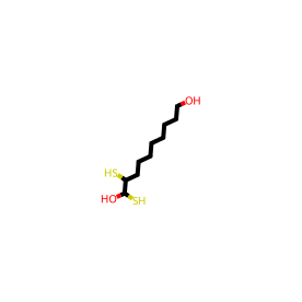 OCCCCCCCCC(S)C(O)S